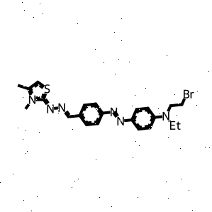 CCN(CCBr)c1ccc(/N=N/c2ccc(C=N/N=c3\scc(C)n3C)cc2)cc1